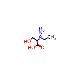 CCN(N)C(CO)C(=O)O